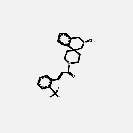 CN1Cc2ccccc2C2(CCN(C(=O)/C=C/c3ccccc3C(F)(F)F)CC2)C1